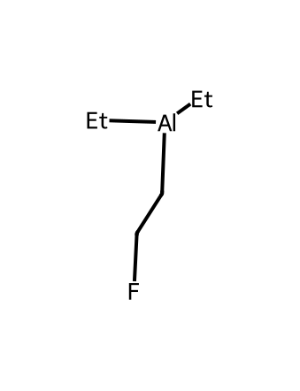 C[CH2][Al]([CH2]C)[CH2]CF